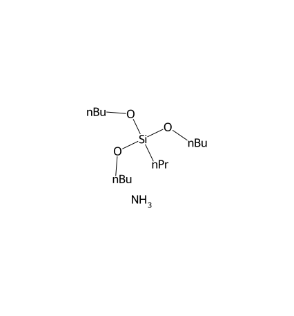 CCCCO[Si](CCC)(OCCCC)OCCCC.N